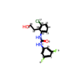 O=C(Nc1cc(F)cc(F)c1)Nc1cccc(Cl)c1CCO